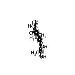 Cc1c(CO)nnn1C[C@H](O)COc1ccc(C(C)(C)c2ccc(OC[C@@H](O)CCl)c(Cl)c2)cc1